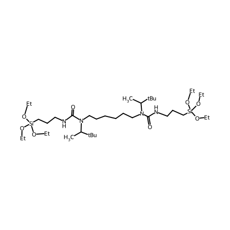 CCO[Si](CCCNC(=O)N(CCCCCCN(C(=O)NCCC[Si](OCC)(OCC)OCC)C(C)C(C)(C)C)C(C)C(C)(C)C)(OCC)OCC